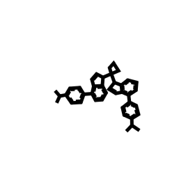 CC(C)c1ccc(-c2cccc3c2C=CC3C2(C3C=Cc4c(-c5ccc(C(C)C)cc5)cccc43)CCC2)cc1